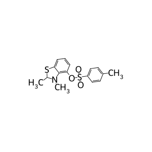 Cc1ccc(S(=O)(=O)Oc2cccc3c2N(C)C(C)S3)cc1